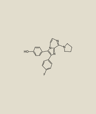 Oc1ccc(-c2c(-c3ccc(F)cc3)nc3c(N4CCCC4)nccn23)cc1